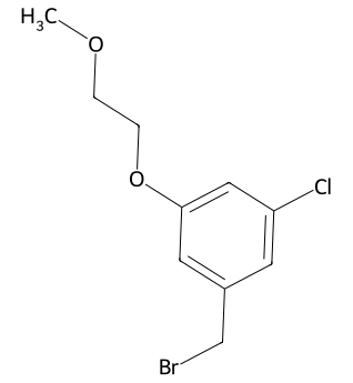 COCCOc1cc(Cl)cc(CBr)c1